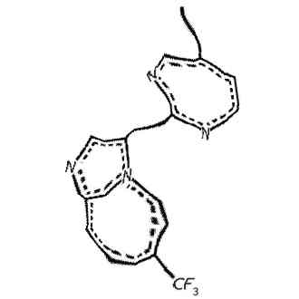 Cc1ccnc(-c2cnc3ccc(C(F)(F)F)cn23)n1